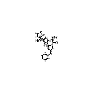 CCCN1C(=O)N2C[C@@H](Cc3ccccc3)N=C2c2[nH]c(C3(O)CCCC3)nc21